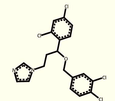 Clc1ccc(C(CCn2ccnc2)OCc2ccc(Cl)c(Cl)c2)c(Cl)c1